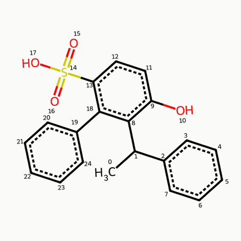 CC(c1ccccc1)c1c(O)ccc(S(=O)(=O)O)c1-c1ccccc1